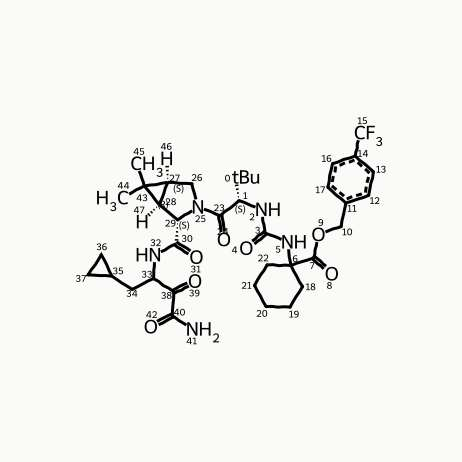 CC(C)(C)[C@H](NC(=O)NC1(C(=O)OCc2ccc(C(F)(F)F)cc2)CCCCC1)C(=O)N1C[C@H]2[C@@H]([C@H]1C(=O)NC(CC1CC1)C(=O)C(N)=O)C2(C)C